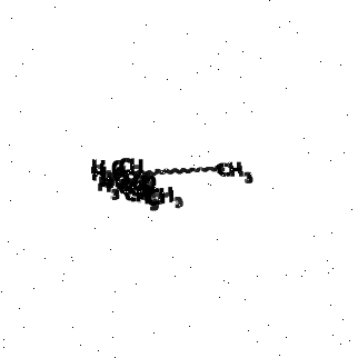 CCCCCCCCCCCCCCCCCCC(Cc1cc(C(C)(C)C)c(O)c(C(C)(C)C)c1)C(=O)OC(=O)CC